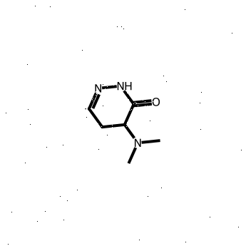 CN(C)C1C[C]=NNC1=O